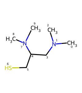 CN(C)CC(CS)N(C)C